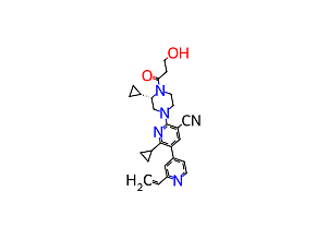 C=Cc1cc(-c2cc(C#N)c(N3CCN(C(=O)CCO)[C@@H](C4CC4)C3)nc2C2CC2)ccn1